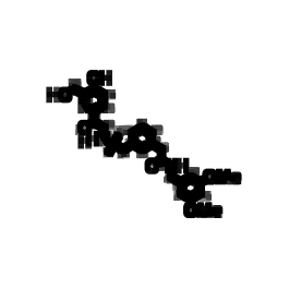 COc1cc(CNC(=O)Cc2cccc(CC(C)(C)NCC(O)c3ccc(O)c(CO)n3)c2)cc(OC)c1